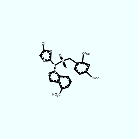 COc1ccc(CS(=O)(=O)N(c2ncc(Cl)s2)n2ncc3c(C(=O)O)cccc32)c(OC)c1